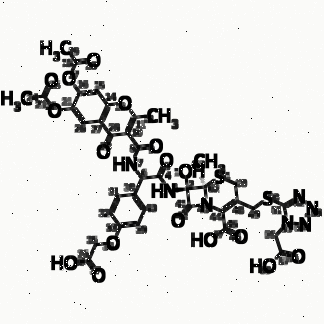 CO[C@@]1(NC(=O)C(NC(=O)c2c(C)oc3cc(OC(C)=O)c(OC(C)=O)cc3c2=O)c2ccc(OCC(=O)O)cc2)C(=O)N2C(C(=O)O)=C(CSc3nnnn3CC(=O)O)CS[C@@H]21